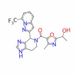 Cc1nc(C(C)O)oc1C(=O)N1CCc2[nH]cnc2C1c1cc2cccc(C(F)(F)F)n2n1